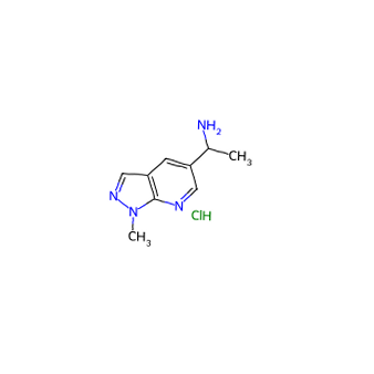 CC(N)c1cnc2c(cnn2C)c1.Cl